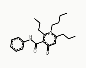 CCCCn1c(CCC)cc(=O)c(C(=O)Nc2ccccc2)c1CCC